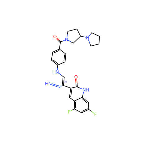 N=N/C(=C\Nc1ccc(C(=O)N2CCC(N3CCCC3)C2)cc1)c1cc2c(F)cc(F)cc2[nH]c1=O